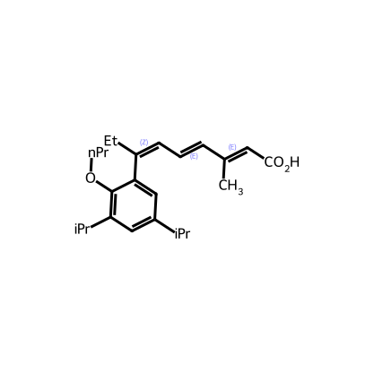 CCCOc1c(\C(=C/C=C/C(C)=C/C(=O)O)CC)cc(C(C)C)cc1C(C)C